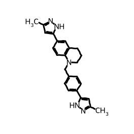 Cc1cc(-c2ccc(CN3CCCc4cc(-c5cc(C)n[nH]5)ccc43)cc2)[nH]n1